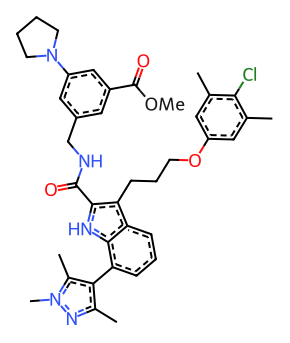 COC(=O)c1cc(CNC(=O)c2[nH]c3c(-c4c(C)nn(C)c4C)cccc3c2CCCOc2cc(C)c(Cl)c(C)c2)cc(N2CCCC2)c1